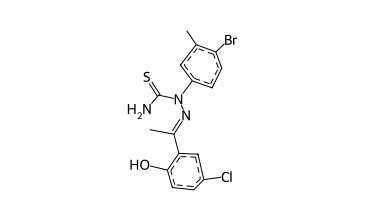 CC(=NN(C(N)=S)c1ccc(Br)c(C)c1)c1cc(Cl)ccc1O